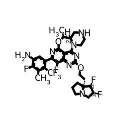 Cc1c(F)c(N)cc(-c2nc3c4c(nc(OCC[C@@]56CCCN5C[C@H](F)[C@@H]6F)nc4c2F)N2CCNC[C@H]2[C@H](C)O3)c1C(F)(F)F